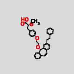 COC(Cc1ccc(OCCOC2c3ccccc3C=Cc3ccc(CCc4ccccc4)cc32)cc1)C(=O)O